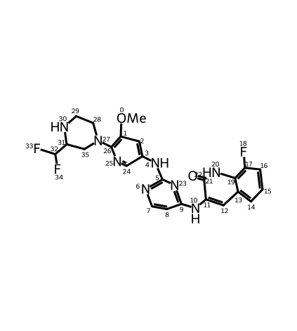 COc1cc(Nc2nccc(Nc3cc4cccc(F)c4[nH]c3=O)n2)cnc1N1CCNC(C(F)F)C1